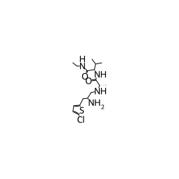 CCNC(=O)[C@@H](NC(=O)[C@H](C)NCC(N)Cc1ccc(Cl)s1)C(C)C